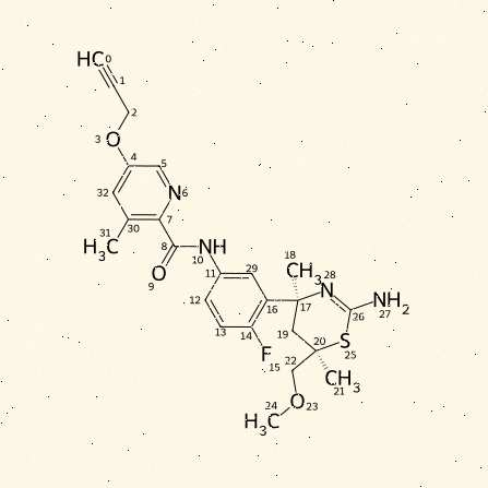 C#CCOc1cnc(C(=O)Nc2ccc(F)c([C@]3(C)C[C@](C)(COC)SC(N)=N3)c2)c(C)c1